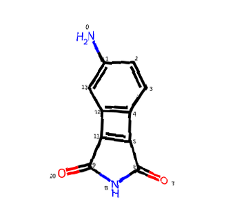 Nc1ccc2c3c(=O)[nH]c(=O)c=3c2c1